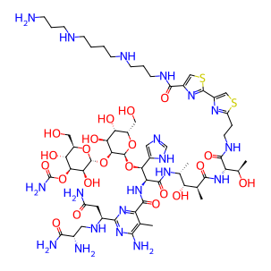 Cc1c(N)nc([C@H](CC(N)=O)NC[C@H](N)C(N)=O)nc1C(=O)N[C@H](C(=O)N[C@H](C)[C@@H](O)[C@H](C)C(=O)N[C@H](C(=O)NCCc1nc(-c2nc(C(=O)NCCCNCCCCNCCCN)cs2)cs1)[C@@H](C)O)[C@@H](O[C@@H]1O[C@@H](CO)[C@@H](O)[C@H](O)[C@@H]1O[C@H]1O[C@H](CO)[C@@H](O)[C@H](OC(N)=O)[C@@H]1O)c1cnc[nH]1